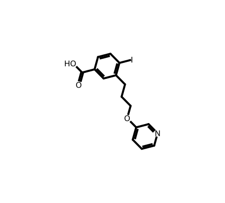 O=C(O)c1ccc(I)c(CCCOc2cccnc2)c1